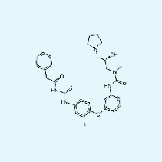 CN(C[C@H](O)CN1CCCC1)C(=O)Nc1cc(Oc2ccc(NC(=S)NC(=O)Cc3ccccc3)cc2F)ccn1